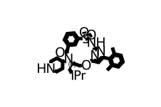 Cc1cccc(C)c1-c1cc2nc(n1)NS(=O)(=O)c1cccc(c1)C(=O)N(C1CCNCC1)[C@H](CC(C)C)CO2